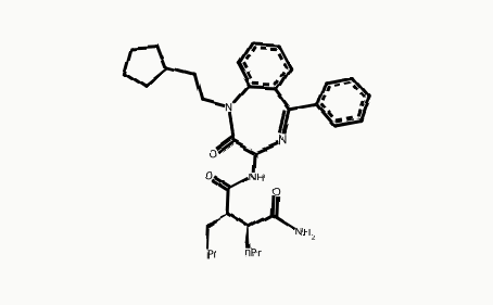 CCC[C@H](C(N)=O)[C@@H](CC(C)C)C(=O)NC1N=C(c2ccccc2)c2ccccc2N(CCC2CCCC2)C1=O